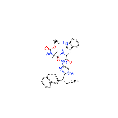 CC(=O)OCC(c1ccc2ccccc2c1)c1nc(NC(=O)C(Cc2c[nH]c3ccccc23)NC(=O)C(C)(C)NC(=O)OC(C)(C)C)c[nH]1